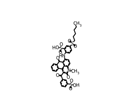 CCCCCCS(=O)(=O)c1ccc(Nc2ccc3c4c2C(=O)c2ccccc2-c4c(C(=O)c2cccc(S(=O)(=O)O)c2)c(=O)n3C)c(S(=O)(=O)O)c1